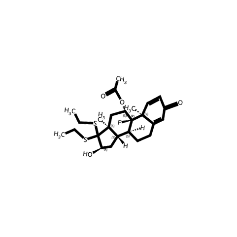 CCSC1(SCC)[C@H](O)C[C@H]2[C@@H]3CCC4=CC(=O)C=C[C@]4(C)[C@@]3(F)[C@@H](OC(C)=O)C[C@@]21C